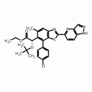 CCOC(=O)[C@@H](OC(C)(C)C)c1c(C)cc2nc(-c3ccc4[nH]ncc4n3)sc2c1-c1ccc(Cl)cc1